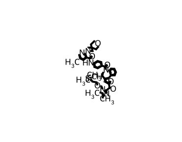 Cc1cnc(N2CC3(CCOCC3)C2)c(C(=O)Nc2ccc(C(=O)N3CCc4cc(C(=O)c5nc(C)c(C)n5COCC[Si](C)(C)C)oc4-c4ccccc43)cc2)c1